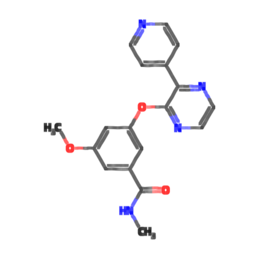 CNC(=O)c1cc(OC)cc(Oc2nccnc2-c2ccncc2)c1